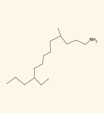 CCCC(CC)CCCCCC(C)CCCN